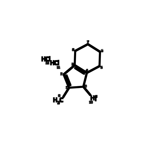 CC1=CC2=C(CCCC2)[CH]1[Hf].Cl.Cl